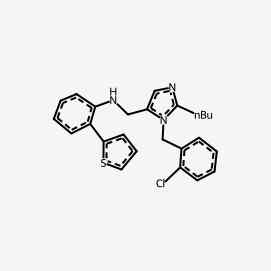 CCCCc1ncc(CNc2ccccc2-c2cccs2)n1Cc1ccccc1Cl